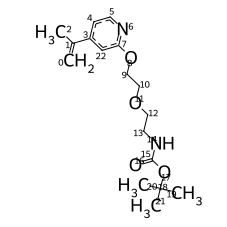 C=C(C)c1ccnc(OCCOCCNC(=O)OC(C)(C)C)c1